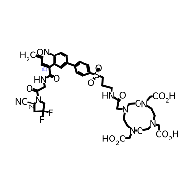 C=C/C=C(/C(=O)NCC(=O)N1CC(F)(F)C[C@H]1C#N)c1cc(-c2ccc(S(=O)(=O)CCCNC(=O)CN3CCN(CC(=O)O)CCN(CC(=O)O)CCN(CC(=O)O)CC3)cc2)ccc1N=O